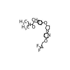 CCN(C)C(=O)C(C)c1ccc(OC2CCN(c3ccc(OCC4CC4(F)F)cn3)C2)cc1